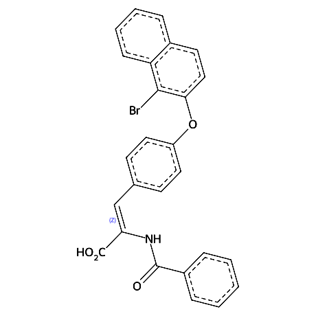 O=C(O)/C(=C/c1ccc(Oc2ccc3ccccc3c2Br)cc1)NC(=O)c1ccccc1